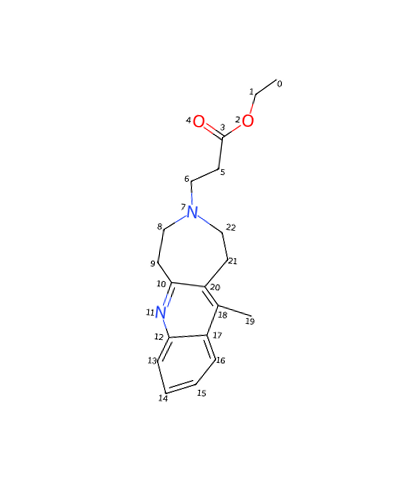 CCOC(=O)CCN1CCc2nc3ccccc3c(C)c2CC1